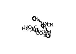 N#CN=C1N(CCCN2CCCCC2)CCN1CCCN1CCCCC1.O=C(O)C=CC(=O)O.O=C(O)C=CC(=O)O